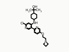 CC(C)(O)C1CCC(Nc2cc(Cl)ncc2-c2ccc(OCCN3CCC3)cn2)CC1